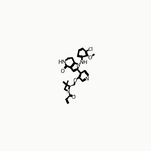 C=CC(=O)N1CC(C)(C)[C@H]1COc1cnccc1-c1cc2c(n1Nc1cccc(Cl)c1OC)CCNC2=O